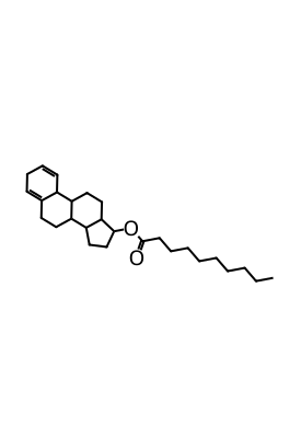 CCCCCCCCCC(=O)OC1CCC2C1CCC1C3C=CCC=C3CCC12